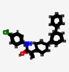 C=C(C(=O)Nc1ccc(Cl)cc1)C1CCC(c2cccc(-c3ccccc3)c2)CC1